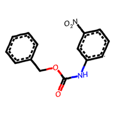 O=C(Nc1[c]ccc([N+](=O)[O-])c1)OCc1ccccc1